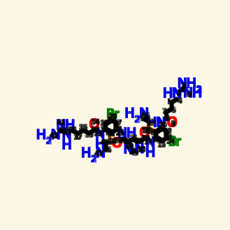 N=C(N)NCCCCC(=O)Nc1cc(Br)cc(NC(=O)c2cc(C(=O)Nc3cc(Br)cc(NC(=O)CCCCNC(=N)N)c3SCCN)ncn2)c1SCCN